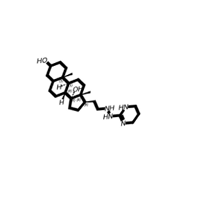 C[C@]12CCC(O)CC1CC[C@@H]1[C@@H]2CC[C@]2(C)[C@@H](CCNNC3=NCCCN3)CC[C@@]12O